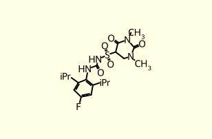 CC(C)c1cc(F)cc(C(C)C)c1NC(=O)NS(=O)(=O)C1CN(C)C(=O)N(C)C1=O